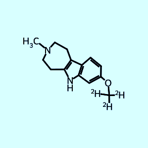 [2H]C([2H])([2H])Oc1ccc2c3c([nH]c2c1)CCN(C)CC3